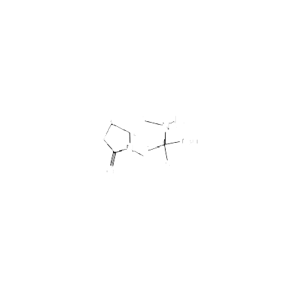 CCN(C[C@H]1CCC(=O)N1C)C(C)(C)C(C)(C)C